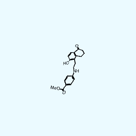 COC(=O)c1ccc(NCCc2c(O)ccc3c2CCCC3=O)cc1